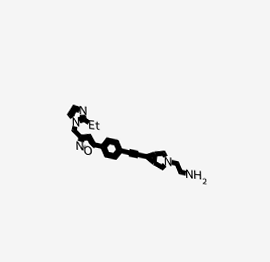 CCc1nccn1Cc1cc(-c2ccc(C#CC3C4CN(CCN)CC34)cc2)on1